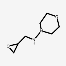 C1CN(NCC2CO2)CCO1